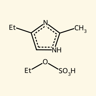 CCOS(=O)(=O)O.CCc1c[nH]c(C)n1